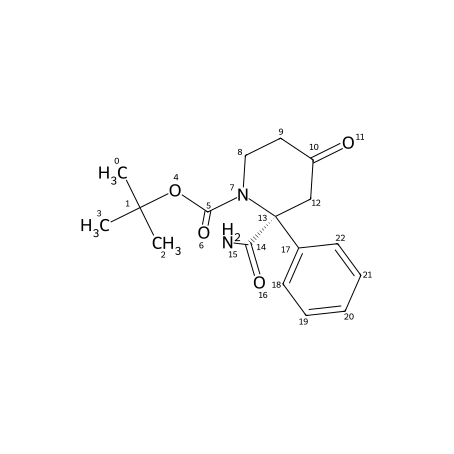 CC(C)(C)OC(=O)N1CCC(=O)C[C@@]1(C(N)=O)c1ccccc1